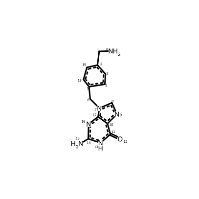 NCc1ccc(Cn2cnc3c(=O)[nH]c(N)nc32)cc1